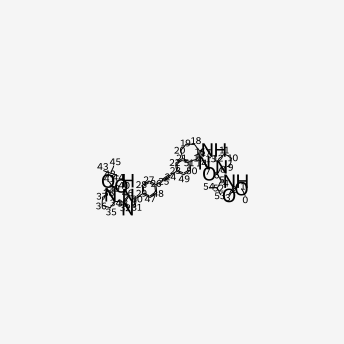 COC(=O)N[C@H](C(=O)N1CCC[C@H]1c1nc2c([nH]1)CCCc1cc(C#Cc3ccc(-c4cnc(C5CCCN5C(=O)OC(C)(C)C)[nH]4)cc3)ccc1-2)C(C)C